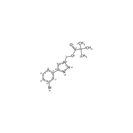 CC(C)(C)C(=O)OCn1cc(-c2cccc(Br)c2)nn1